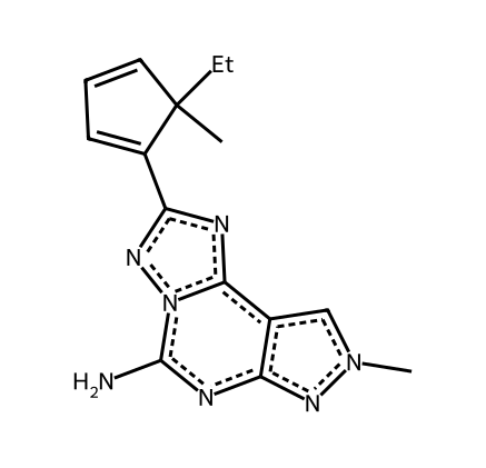 CCC1(C)C=CC=C1c1nc2c3cn(C)nc3nc(N)n2n1